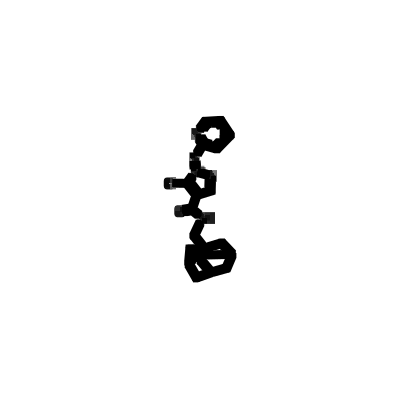 O=C(NCC12CC3CC(CC(C3)C1)C2)C1=C(Cl)[N+](=Nc2ccccn2)N=C1